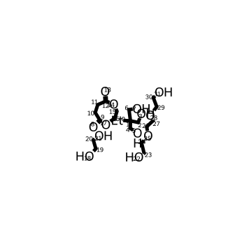 CCC(CO)(CO)CO.O=C1CCC(=O)OCCO1.OCCO.OCCOCCOCCO